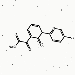 COC(=O)C(=O)C1=CC=CC(c2ccc(C(F)(F)F)cn2)C1=O